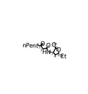 CCCCCC(=O)CC(=O)N[C@@H]1C[C@@H](CC)OC1=O